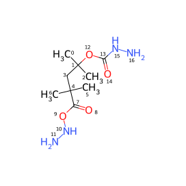 CC(C)(CC(C)(C)C(=O)ONN)OC(=O)NN